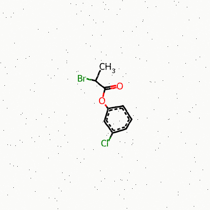 CC(Br)C(=O)Oc1cccc(Cl)c1